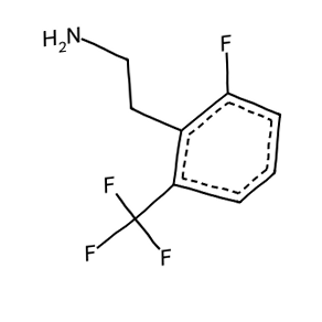 NCCc1c(F)cccc1C(F)(F)F